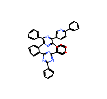 C1=CC(c2nc(-c3ccccc3)nc(-c3ccccc3-c3nc(-c4ccccc4)c(-c4ccc(-c5ccccc5)nc4)nc3-c3ccccc3)n2)=CCC1